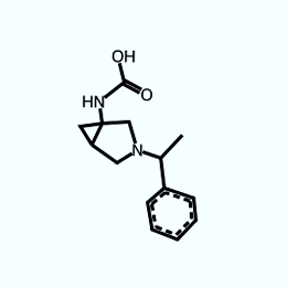 CC(c1ccccc1)N1CC2CC2(NC(=O)O)C1